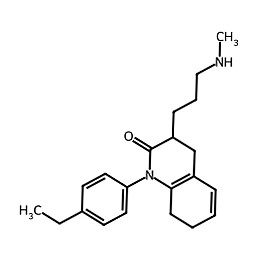 CCc1ccc(N2C(=O)C(CCCNC)CC3=C2CCC=C3)cc1